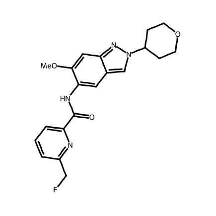 COc1cc2nn(C3CCOCC3)cc2cc1NC(=O)c1cccc(CF)n1